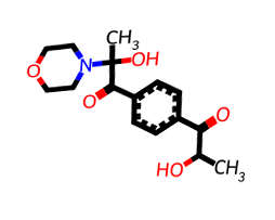 CC(O)C(=O)c1ccc(C(=O)C(C)(O)N2CCOCC2)cc1